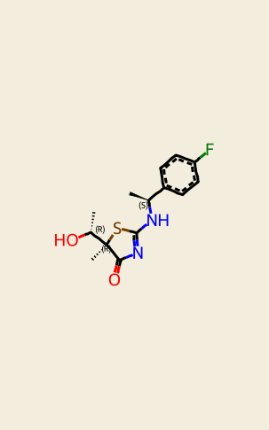 C[C@H](NC1=NC(=O)[C@@](C)([C@@H](C)O)S1)c1ccc(F)cc1